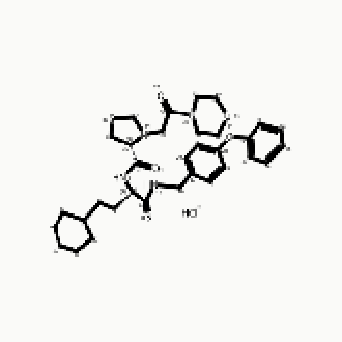 Cl.O=C(N[C@H](CCC1CCCCC1)C(=S)NCc1ccc(Oc2ccccc2)cc1)[C@@H]1CSCN1CC(=O)N1CCOCC1